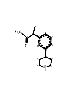 CC(C(N)=O)c1cccc(C2CCNCC2)c1